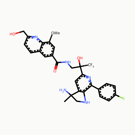 COc1cc(C(=O)NCC(O)(c2cc3c(c(-c4ccc(F)cc4)n2)NCC3(C)N)C(F)(F)F)cc2ccc(CO)nc12